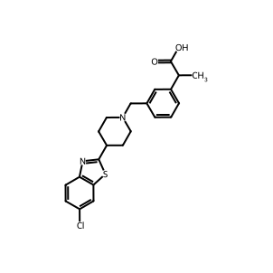 CC(C(=O)O)c1cccc(CN2CCC(c3nc4ccc(Cl)cc4s3)CC2)c1